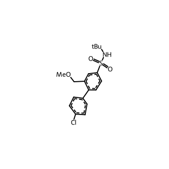 COCc1cc(S(=O)(=O)NC(C)(C)C)ccc1-c1ccc(Cl)cc1